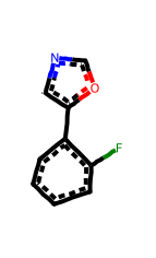 Fc1ccccc1-c1[c]nco1